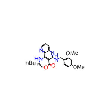 CCCC[C@H]1COC(=O)c2c(NCc3ccc(OC)cc3OC)nc3cccnc3c2N1